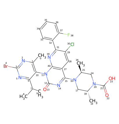 Cc1nc(Br)nc(C(C)C)c1-n1c(=O)nc(N2C[C@@H](C)N(C(=O)O)C[C@@H]2C)c2cc(Cl)c(-c3ccccc3F)nc21